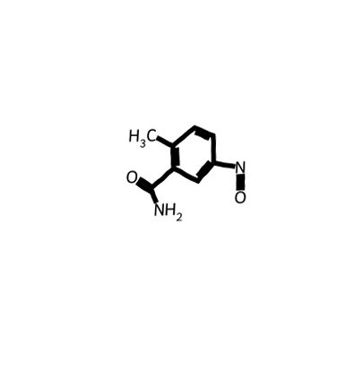 Cc1ccc(N=O)cc1C(N)=O